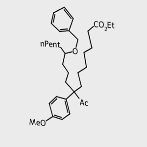 CCCCCC(CCCC(CCCCCCC(=O)OCC)(C(C)=O)c1ccc(OC)cc1)OCc1ccccc1